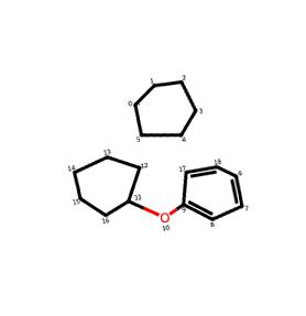 [CH]1CCCCC1.c1ccc(OC2CCCCC2)cc1